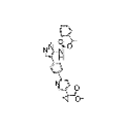 COC(=O)C1(c2ccc(-c3ccc(-c4cnn(C)c4NC(=O)OC(C)c4ccccc4)cc3)nc2)CC1